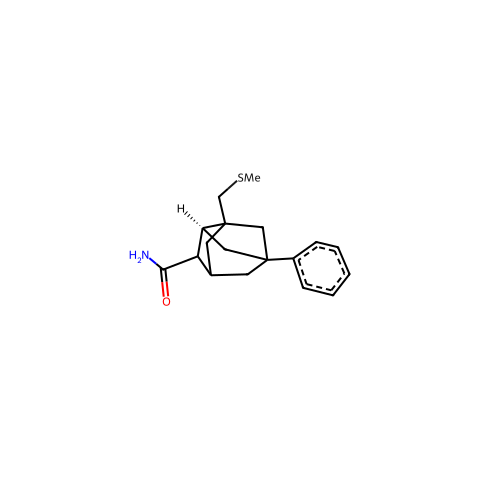 CSCC12CC3CC(c4ccccc4)(C[C@H]1C3C(N)=O)C2